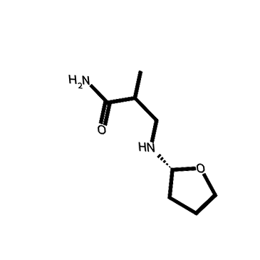 CC(CN[C@H]1CCCO1)C(N)=O